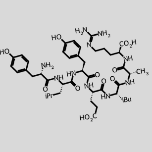 CCC(C)[C@H](NC(=O)[C@H](CCC(=O)O)NC(=O)[C@H](Cc1ccc(O)cc1)NC(=O)[C@H](CC(C)C)NC(=O)[C@@H](N)Cc1ccc(O)cc1)C(=O)N[C@@H](C)C(=O)N[C@@H](CCCN=C(N)N)C(=O)O